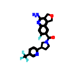 Nc1nc2cc(F)c(C(=O)N3CCC(c4ccc(C(F)(F)F)cn4)C3)cc2c2c1COC2